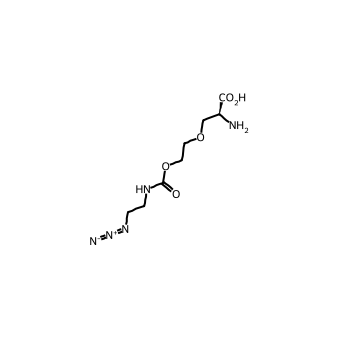 [N-]=[N+]=NCCNC(=O)OCCOC[C@H](N)C(=O)O